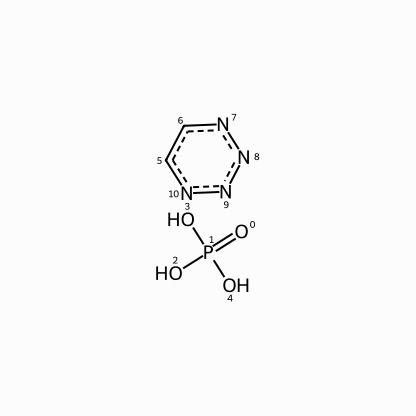 O=P(O)(O)O.c1cnnnn1